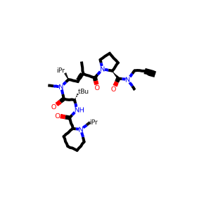 C#CCN(C)C(=O)[C@@H]1CCCN1C(=O)/C(C)=C/[C@H](C(C)C)N(C)C(=O)[C@@H](NC(=O)C1CCCCN1C(C)C)C(C)(C)C